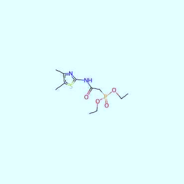 CCOP(=O)(CC(=O)Nc1nc(C)c(C)s1)OCC